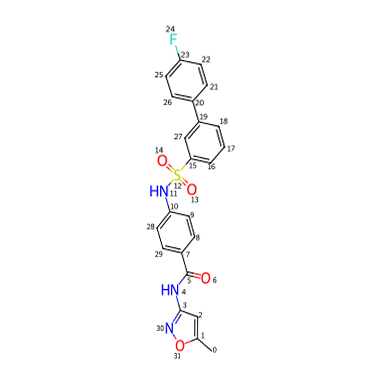 Cc1cc(NC(=O)c2ccc(NS(=O)(=O)c3cccc(-c4ccc(F)cc4)c3)cc2)no1